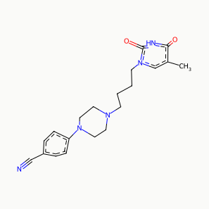 Cc1cn(CCCCN2CCN(c3ccc(C#N)cc3)CC2)c(=O)[nH]c1=O